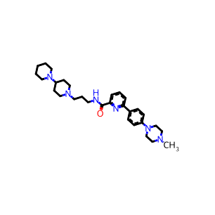 CN1CCN(c2ccc(-c3cccc(C(=O)NCCCN4CCC(N5CCCCC5)CC4)n3)cc2)CC1